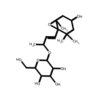 CC(C=CC12OC1(C)CC(O)CC2(C)C)OC1OC(CO)C(O)C(O)C1O